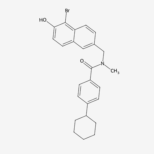 CN(Cc1ccc2c(Br)c(O)ccc2c1)C(=O)c1ccc(C2CCCCC2)cc1